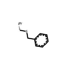 [CH2][C@@H](C)CSCc1ccccc1